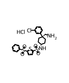 Cl.NC[C@]1(c2cccc(Cl)c2)CC[C@@H](NS(=O)(=O)c2ccc(S(=O)(=O)c3ccccc3)s2)CC1